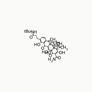 C[C@H]1c2ccc(CCC(=O)NC(C)(C)C)c(O)c2C(=O)C2=C(O)[C@]3(O)C(=O)C(C(N)=O)=C(O)[C@@H](N(C)C)[C@@H]3[C@@H](O)[C@@H]21